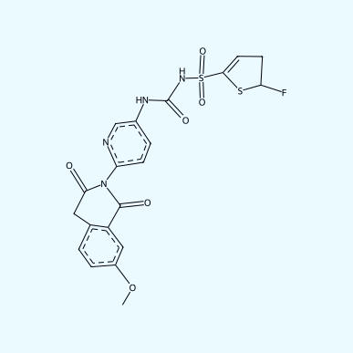 COc1ccc2c(c1)C(=O)N(c1ccc(NC(=O)NS(=O)(=O)C3=CCC(F)S3)cn1)C(=O)C2